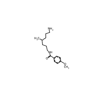 COc1ccc(C(=O)NCCCN(C)CCCN)cc1